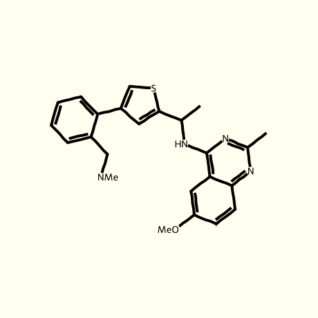 CNCc1ccccc1-c1csc(C(C)Nc2nc(C)nc3c[c]c(OC)cc23)c1